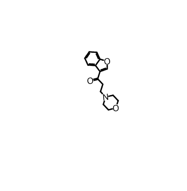 O=C(CCN1CCOCC1)c1coc2ccccc12